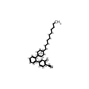 CCCCCCCCCCCC12CCC(c3ccccc3-c3ccc(C#N)c(F)c3)(CC1)CC2